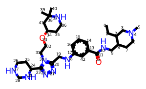 CCC1CN(C)CCC1CNC(=O)c1cccc(NCc2nnc(C3CCNCN3)n2CCOC2CCNC(C)(C)C2)c1